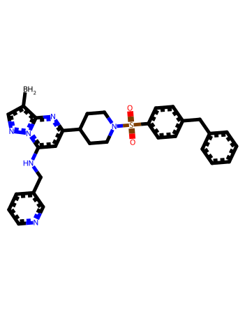 Bc1cnn2c(NCc3cccnc3)cc(C3CCN(S(=O)(=O)c4ccc(Cc5ccccc5)cc4)CC3)nc12